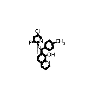 Cc1ccc(C(Nc2ncc(Cl)cc2F)c2ccc3cccnc3c2O)cc1